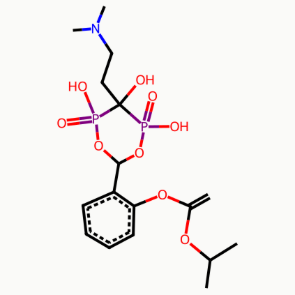 C=C(Oc1ccccc1C1OP(=O)(O)C(O)(CCN(C)C)P(=O)(O)O1)OC(C)C